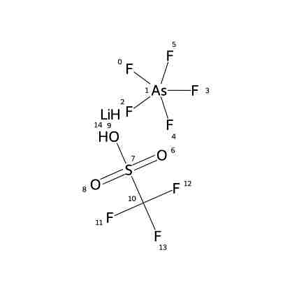 F[As](F)(F)(F)F.O=S(=O)(O)C(F)(F)F.[LiH]